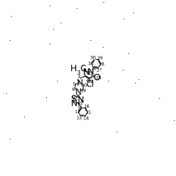 Cn1c(CN2CCN(c3nc(-c4ccccc4)ns3)CC2)c(Cl)c(=O)n1-c1ccccc1